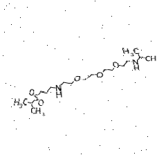 CC(C)NCCOCCOCCOCCNCCCS(=O)(=O)C(C)C